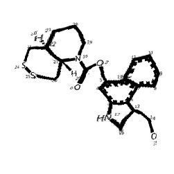 O=C(Oc1cc2c(c3ccccc13)C(CCl)CN2)N1CCC[C@@H]2CSSC[C@H]21